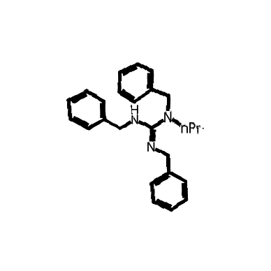 CC[CH]N(Cc1ccccc1)/C(=N\Cc1ccccc1)NCc1ccccc1